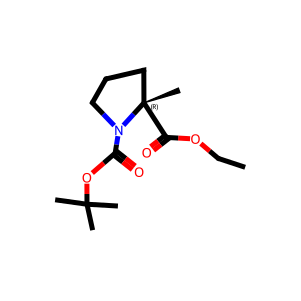 CCOC(=O)[C@@]1(C)CCCN1C(=O)OC(C)(C)C